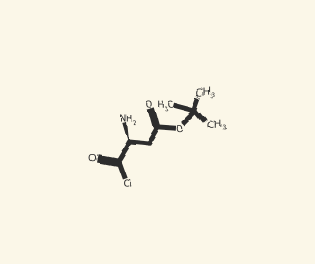 CC(C)(C)OC(=O)C[C@H](N)C(=O)Cl